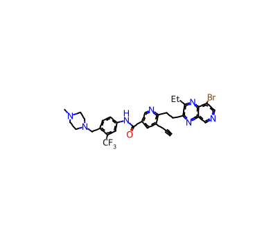 C#Cc1cc(C(=O)Nc2ccc(CN3CCN(C)CC3)c(C(F)(F)F)c2)cnc1CCc1nc2cncc(Br)c2nc1CC